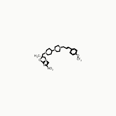 C[C@]1(CN2CCC(N3CCN(CC=Cc4ccc(OC(F)(F)F)cc4)CC3)CC2)Cn2cc([N+](=O)[O-])nc2O1